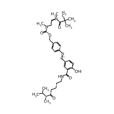 CC(C)C(C)C(=O)CCCCNC(=O)c1cc(/N=N/c2ccc(COC(=O)N(C)CCN(C)C(=O)C(C)(C)C)cc2)ccc1O